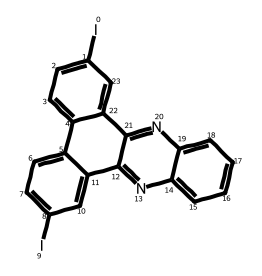 Ic1ccc2c3ccc(I)cc3c3nc4ccccc4nc3c2c1